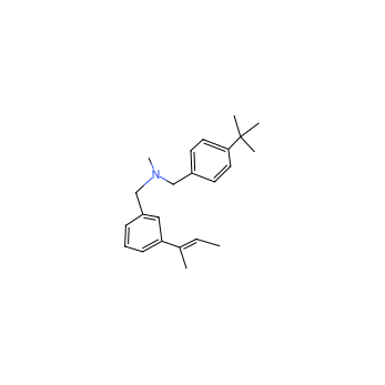 CC=C(C)c1cccc(CN(C)Cc2ccc(C(C)(C)C)cc2)c1